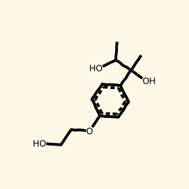 CC(O)C(C)(O)c1ccc(OCCO)cc1